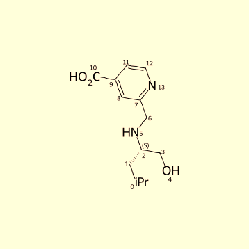 CC(C)C[C@@H](CO)NCc1cc(C(=O)O)ccn1